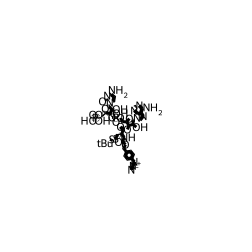 CC(C)(C)SSC[C@H](NC(=O)OCc1ccc(N=[N+]=[N-])cc1)C(=O)OC1C(COP(=O)(O)O[C@H]2[C@@H](O)[C@H](n3ccc(N)nc3=O)O[C@@H]2COP(=O)(O)O)OC(n2cnc3c(N)ncnc32)C1O